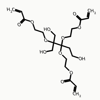 C=CC(=O)OCCOC(CO)(CO)C(CCO)(OCCOC(=O)C=C)OCCOC(=O)C=C